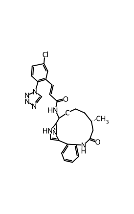 C[C@H]1CCCC(NC(=O)/C=C/c2cc(Cl)ccc2-n2cnnn2)c2nc(c[nH]2)-c2ccccc2NC(=O)C1